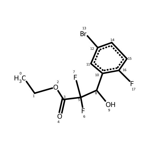 CCOC(=O)C(F)(F)C(O)c1cc(Br)ccc1F